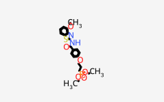 CCOP(=O)(CCCOc1ccc(C(=O)Nc2nc3c(OC)cccc3s2)cc1)OCC